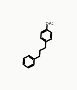 CC(=O)Oc1ccc(CCCc2ccccc2)cc1